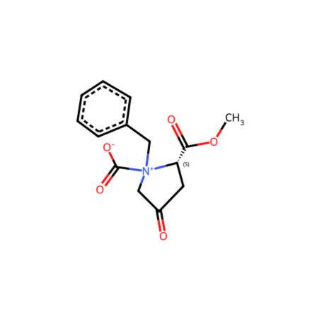 COC(=O)[C@@H]1CC(=O)C[N+]1(Cc1ccccc1)C(=O)[O-]